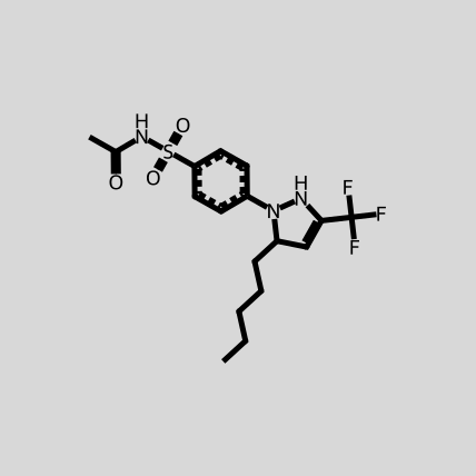 CCCCCC1C=C(C(F)(F)F)NN1c1ccc(S(=O)(=O)NC(C)=O)cc1